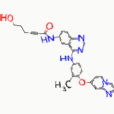 Cc1cc(Nc2ncnc3ccc(NC(=O)C#CCCCO)cc23)ccc1Oc1ccn2ccnc2c1